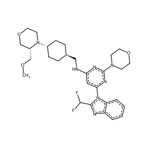 COC[C@@H]1COCCN1[C@H]1CC[C@H](CNc2cc(-n3c(C(F)F)nc4ccccc43)nc(N3CCOCC3)n2)CC1